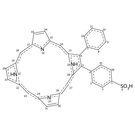 O=S(=O)(O)c1ccc(-c2c(-c3ccccc3)c3cc4nc(cc5ccc(cc6nc(cc2[nH]3)C=C6)[nH]5)C=C4)cc1